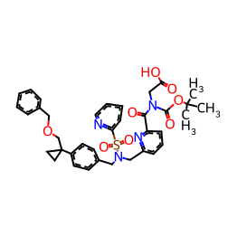 CC(C)(C)OC(=O)N(CC(=O)O)C(=O)c1cccc(CN(Cc2ccc(C3(COCc4ccccc4)CC3)cc2)S(=O)(=O)c2ccccn2)n1